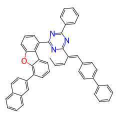 C/C=C\C(=C/c1ccc(-c2ccccc2)cc1)c1nc(-c2ccccc2)nc(-c2cccc3oc4c(-c5ccc6ccccc6c5)cccc4c23)n1